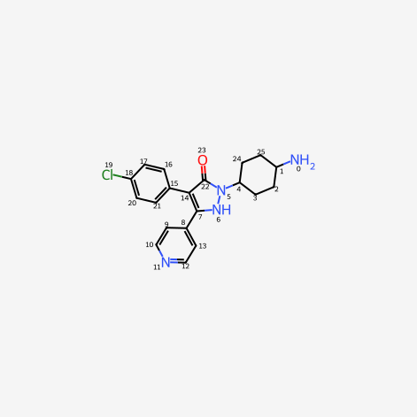 NC1CCC(n2[nH]c(-c3ccncc3)c(-c3ccc(Cl)cc3)c2=O)CC1